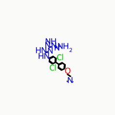 CN(C)CCOc1ccc(-c2c(Cl)cc(NC(=N)/N=C(\N=N)N=NN)cc2Cl)cc1